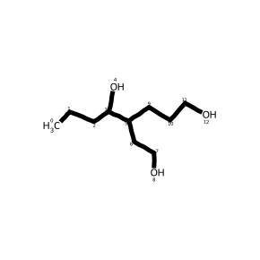 CCCC(O)[C](CCO)CCCO